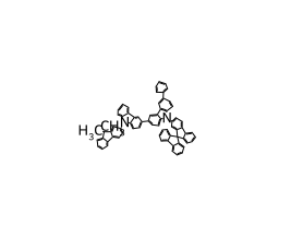 CC1(C)c2ccccc2-c2ccc(-n3c4ccccc4c4cc(-c5ccc6c(c5)c5cc(-c7ccccc7)ccc5n6-c5ccc6c(c5)C5(c7ccccc7-c7ccccc75)c5ccccc5-6)ccc43)cc21